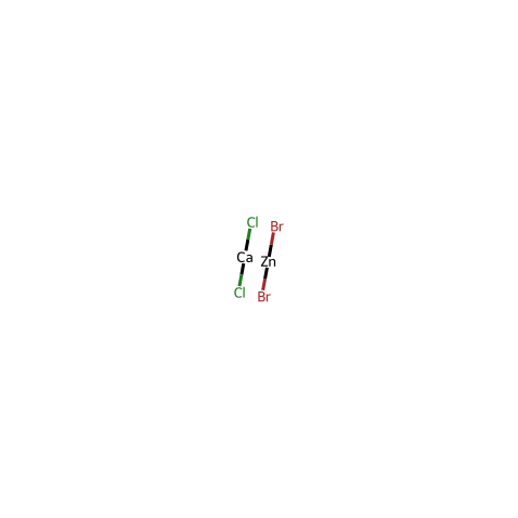 [Br][Zn][Br].[Cl][Ca][Cl]